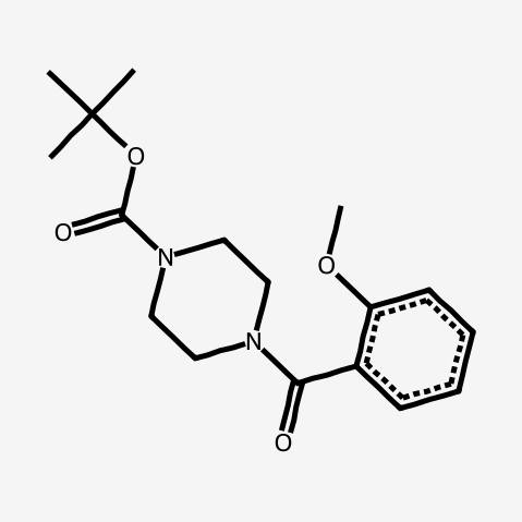 COc1ccccc1C(=O)N1CCN(C(=O)OC(C)(C)C)CC1